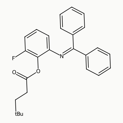 CC(C)(C)CCC(=O)Oc1c(F)cccc1N=C(c1ccccc1)c1ccccc1